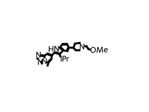 COCCN1CCC(c2ccc3[nH]c(-c4cc(C)n5ncnc5c4)c(C(C)C)c3c2)CC1